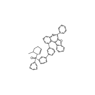 CC1CCC=CC1P(=O)(c1ccccc1)c1cccc(-c2cccc(-c3cccc4nc(-c5ccccc5)c5oc6ccccc6c5c34)c2)c1